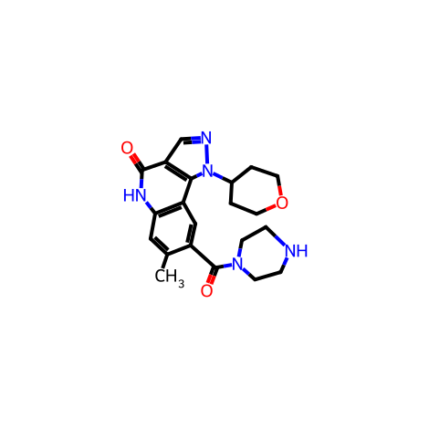 Cc1cc2[nH]c(=O)c3cnn(C4CCOCC4)c3c2cc1C(=O)N1CCNCC1